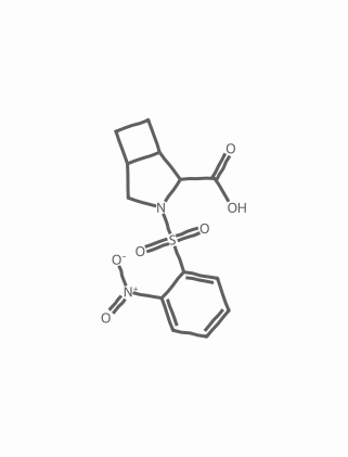 O=C(O)C1C2CCC2CN1S(=O)(=O)c1ccccc1[N+](=O)[O-]